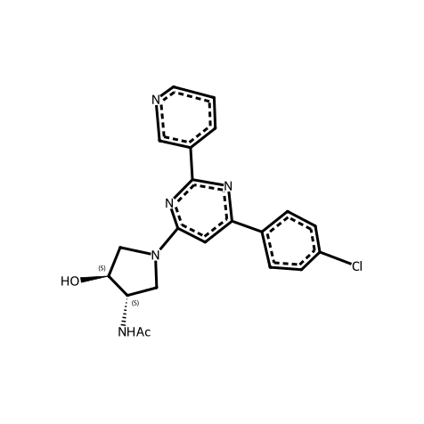 CC(=O)N[C@H]1CN(c2cc(-c3ccc(Cl)cc3)nc(-c3cccnc3)n2)C[C@@H]1O